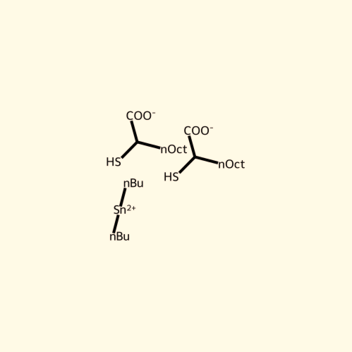 CCCCCCCCC(S)C(=O)[O-].CCCCCCCCC(S)C(=O)[O-].CCC[CH2][Sn+2][CH2]CCC